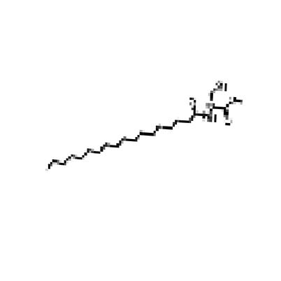 CCCCCCCCCCCCCCCCCC(=O)N[C@@H](CS)C(=O)OC